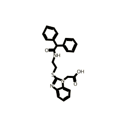 O=C(O)Cn1c(SCCNC(=O)C(c2ccccc2)c2ccccc2)nc2ccccc21